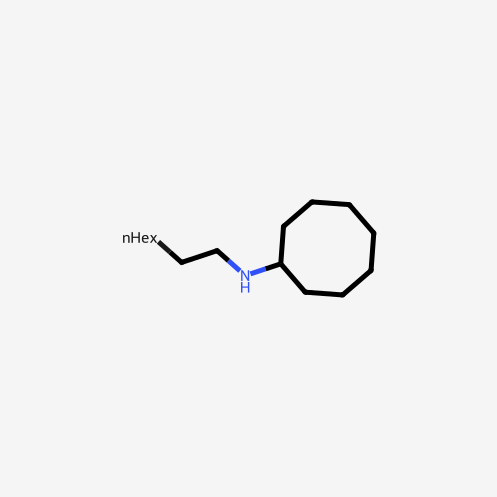 CCCCCCCCNC1CCCCCCC1